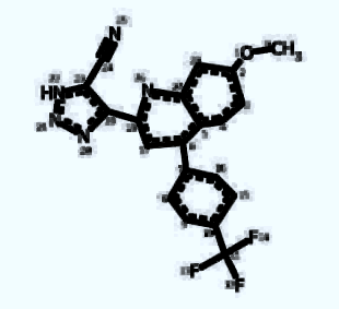 COc1ccc2c(-c3ccc(C(F)(F)F)cc3)cc(-c3nn[nH]c3C#N)nc2c1